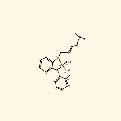 CN(C)C/C=C/CN1c2ccccc2N(c2ccccc2F)S1(O)O